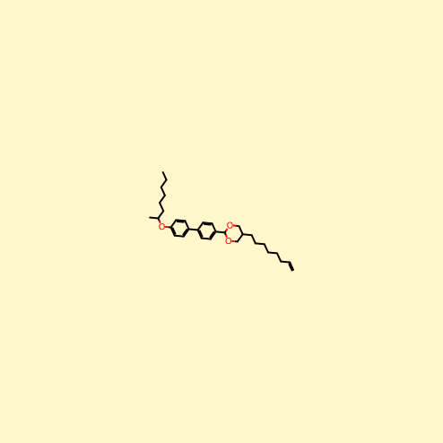 C=CCCCCCCC1COC(c2ccc(-c3ccc(OC(C)CCCCCC)cc3)cc2)OC1